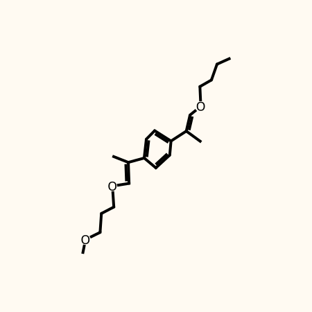 CCCCOC=C(C)c1ccc(C(C)=COCCCOC)cc1